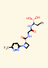 CC(C)C[C@@H](NC(=O)CNC(=O)[C@@H]1CCN1c1ccc(C(F)(F)F)nn1)B(O)O